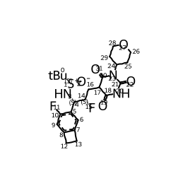 CC(C)(C)[S@@+]([O-])N[C@@H](c1cc2c(cc1F)CC2)[C@@H](F)CC1C(=O)NC(=O)N(C2CCOCC2)C1=O